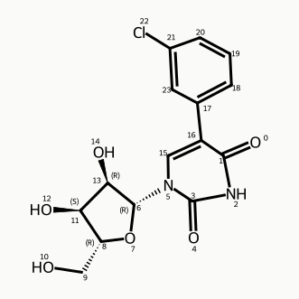 O=c1[nH]c(=O)n([C@@H]2O[C@H](CO)[C@@H](O)[C@H]2O)cc1-c1cccc(Cl)c1